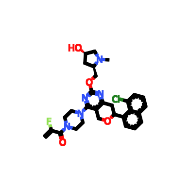 C=C(F)C(=O)N1CCN(c2nc(OC[C@H]3C[C@H](O)CN3C)nc3c2COC(c2cccc4cccc(Cl)c24)C3)CC1